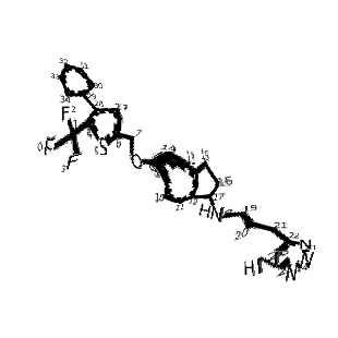 FC(F)(F)c1sc(COc2ccc3c(c2)CCC3NCCCc2nnn[nH]2)cc1-c1ccccc1